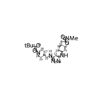 CNS(=O)(=O)Cc1ccc(Nc2cc(N(C)CC3CCN(OC(=O)C(C)(C)C)CC3)ncn2)cc1